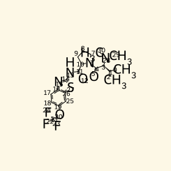 CC(C)[C@@H](C(=O)N1CCC[C@@H]1C(=O)Nc1nc2ccc(OC(F)(F)F)cc2s1)N(C)C